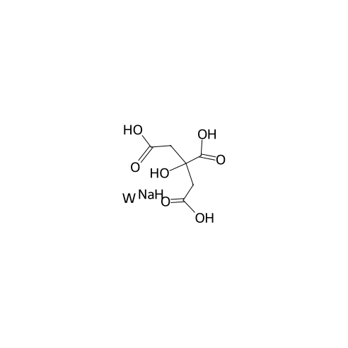 O=C(O)CC(O)(CC(=O)O)C(=O)O.[NaH].[W]